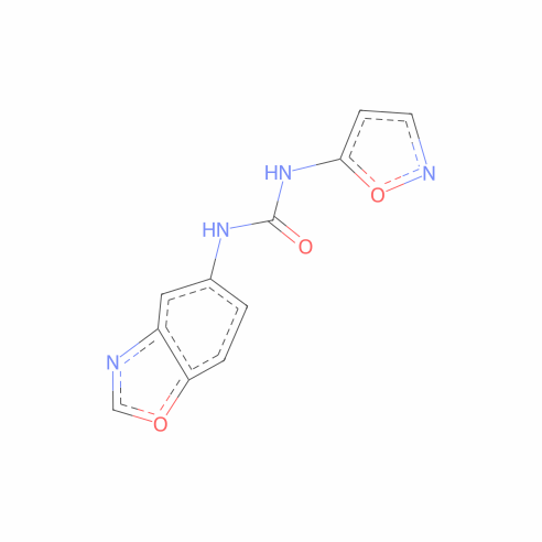 O=C(Nc1ccc2ocnc2c1)Nc1ccno1